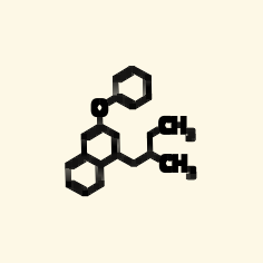 CCC(C)Cc1cc(Oc2ccccc2)cc2ccccc12